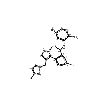 [CH2]c1cn(Cc2cnn(C)c2-c2ccc(F)cc2C(C)Oc2cc(Br)cnc2N)cn1